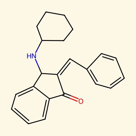 O=C1C(=Cc2ccccc2)C(NC2CCCCC2)c2ccccc21